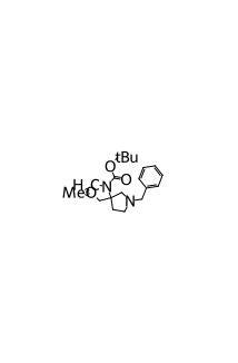 COCC1(N(C)C(=O)OC(C)(C)C)CCN(Cc2ccccc2)C1